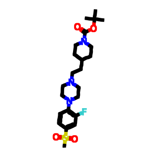 CC(C)(C)OC(=O)N1CCC(CCN2CCN(c3ccc(S(C)(=O)=O)cc3F)CC2)CC1